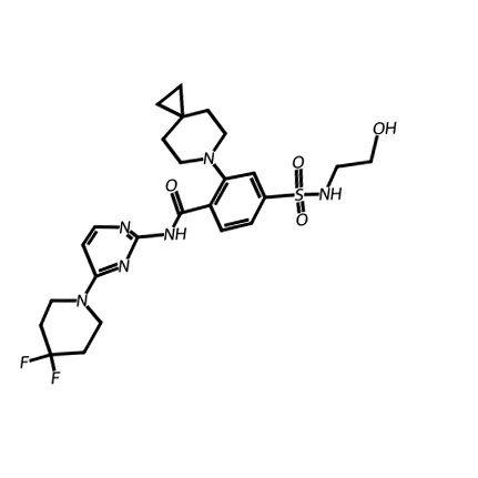 O=C(Nc1nccc(N2CCC(F)(F)CC2)n1)c1ccc(S(=O)(=O)NCCO)cc1N1CCC2(CC1)CC2